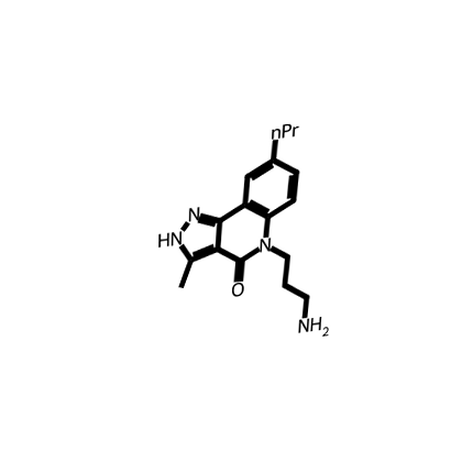 CCCc1ccc2c(c1)c1n[nH]c(C)c1c(=O)n2CCCN